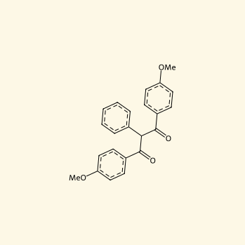 COc1ccc(C(=O)C(C(=O)c2ccc(OC)cc2)c2ccccc2)cc1